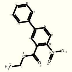 CCOC(=O)c1cc(-c2ccccc2)ccc1[N+](=O)[O-]